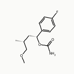 COC[C@H](C)C[C@@H](OC(N)=O)c1ccc(F)cc1